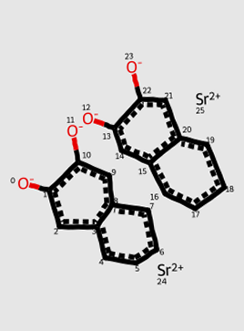 [O-]c1cc2ccccc2cc1[O-].[O-]c1cc2ccccc2cc1[O-].[Sr+2].[Sr+2]